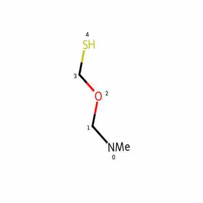 CNCOCS